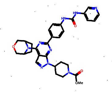 COC(=O)N1CCC(n2ncc3c(N4C5CCC4COC5)nc(-c4ccc(NC(=O)Nc5cccnc5)cc4)nc32)CC1